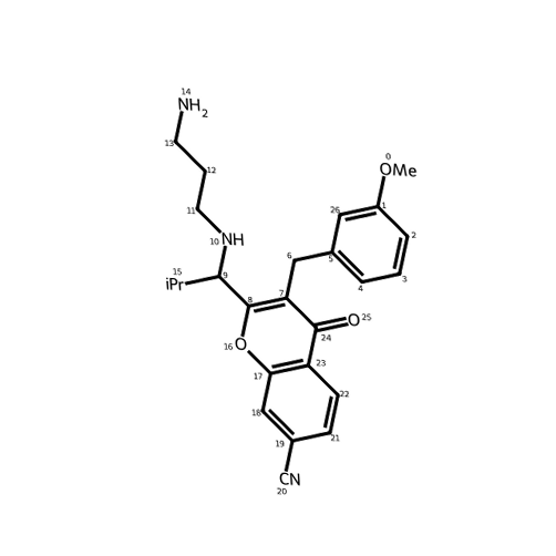 COc1cccc(Cc2c(C(NCCCN)C(C)C)oc3cc(C#N)ccc3c2=O)c1